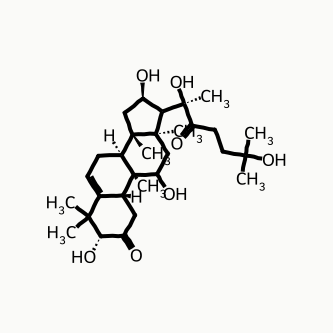 CC(C)(O)CCC(=O)[C@](C)(O)C1[C@H](O)C[C@@]2(C)[C@@H]3CC=C4[C@@H](CC(=O)[C@H](O)C4(C)C)[C@]3(C)C(O)C[C@]12C